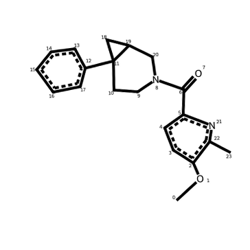 COc1ccc(C(=O)N2CCC3(c4ccccc4)CC3C2)nc1C